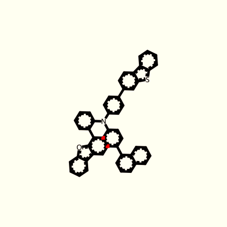 c1ccc(N(c2ccc(-c3ccc4c(c3)sc3ccccc34)cc2)c2ccc(-c3cccc4ccccc34)cc2)c(-c2cccc3c2oc2ccccc23)c1